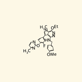 CCOc1nnc(NCc2ccc(OC)cc2)c2c(-c3ccc(Oc4nccc(C)n4)c(F)c3)cn(C)c12